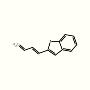 C=CC=Cc1cc2ccccc2s1